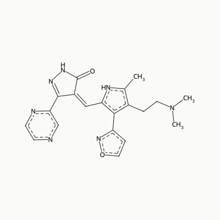 Cc1[nH]c(C=C2C(=O)NN=C2c2cnccn2)c(-c2ccon2)c1CCN(C)C